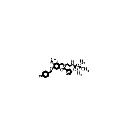 COc1cc(CN(CCNC(=O)OC(C)(C)C)C(=O)c2cccs2)ccc1OCc1ccc(F)cc1